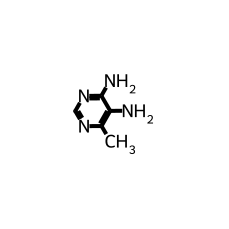 Cc1ncnc(N)c1N